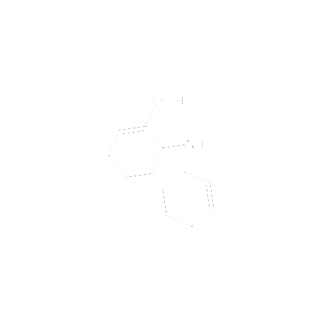 C1=CCCCC1.Nc1ccccc1C(=O)O